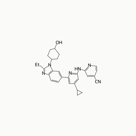 CCc1nc2ccc(-c3cc(C4CC4)cc(Nc4cc(C#N)ccn4)n3)cc2n1C1CCC(O)CC1